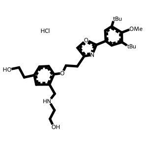 COc1c(C(C)(C)C)cc(-c2nc(CCOc3ccc(CCO)cc3CNCCO)co2)cc1C(C)(C)C.Cl